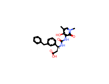 Cc1cn(C)c(=O)c(NC(=O)N[C@@H](CC(=O)O)c2cccc(Cc3ccccc3)c2)c1O